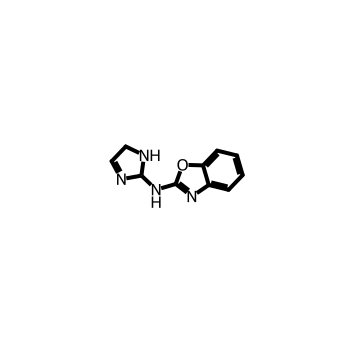 C1=NC(Nc2nc3ccccc3o2)NC1